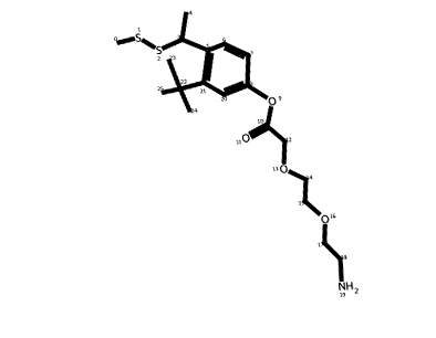 CSSC(C)c1ccc(OC(=O)COCCOCCN)cc1C(C)(C)C